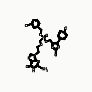 Nc1nc2c(ncn2CCOCP(=O)(OCc2cccc(Cl)c2)OCc2oc(=O)oc2-c2ccc(Cl)cc2)c(=O)[nH]1